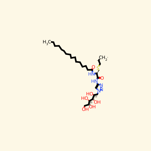 [CH2][CH]CSC[C@@H](NC(=O)CCCCCCCCCCCCCCC)C(=O)Nc1cn(C[C@H](O)[C@H](O)[C@H](O)[C@H](O)CO)nn1